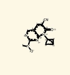 C[S+]([O-])c1ncc2cc(C#N)c(=O)n(C34CC(C3)C4)c2n1